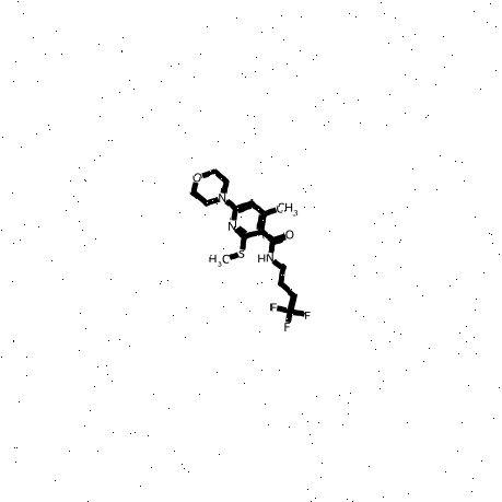 CSc1nc(N2CCOCC2)cc(C)c1C(=O)NCCCC(F)(F)F